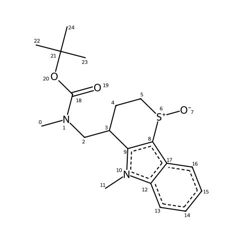 CN(CC1CC[S+]([O-])c2c1n(C)c1ccccc21)C(=O)OC(C)(C)C